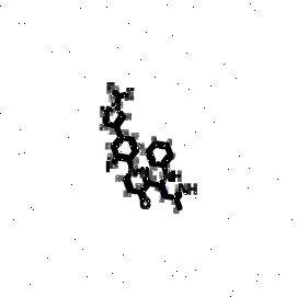 CC(=N)/C=C(\Nc1ccccc1)c1nn(-c2ccc(-c3cnn(C(F)F)c3)cc2F)ccc1=O